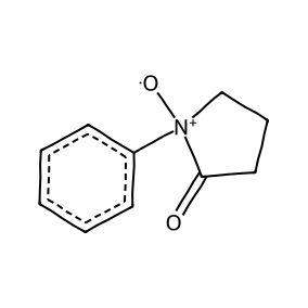 [O][N+]1(c2ccccc2)CCCC1=O